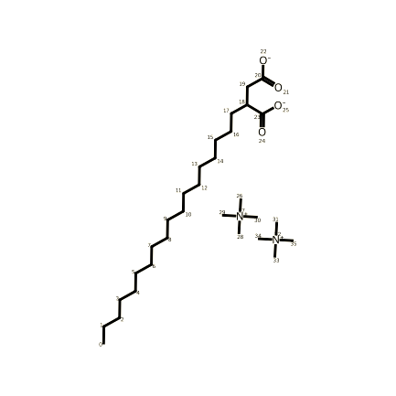 CCCCCCCCCCCCCCCCCCC(CC(=O)[O-])C(=O)[O-].C[N+](C)(C)C.C[N+](C)(C)C